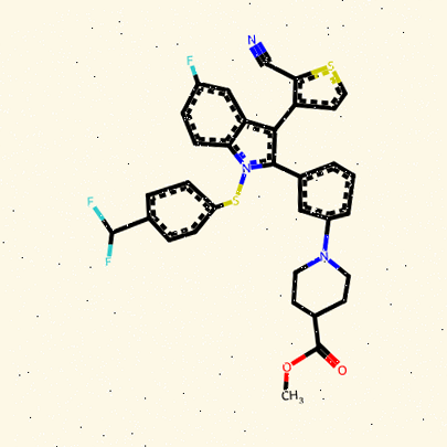 COC(=O)C1CCN(c2cccc(-c3c(-c4ccsc4C#N)c4cc(F)ccc4n3Sc3ccc(C(F)F)cc3)c2)CC1